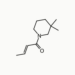 CC=CC(=O)N1CCCC(C)(C)C1